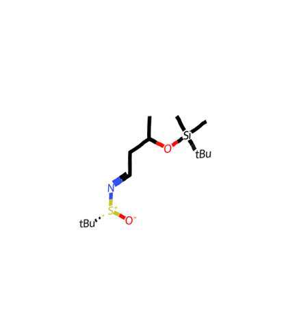 CC(C/C=N/[S@+]([O-])C(C)(C)C)O[Si](C)(C)C(C)(C)C